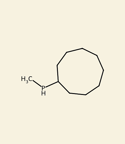 CPC1CCCCCCCC1